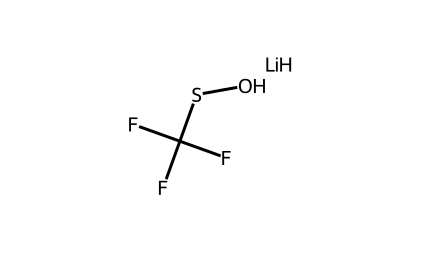 OSC(F)(F)F.[LiH]